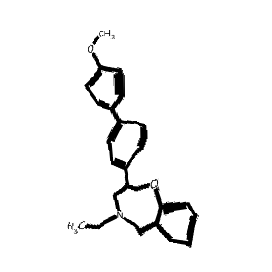 CCN1Cc2ccccc2OC(c2ccc(-c3ccc(OC)cc3)cc2)C1